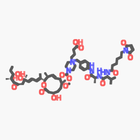 CC[C@H](O)[C@@H](C)[C@H]1O[C@@H]1C[C@@](C)(O)/C=C/C=C(\C)[C@H]1OC(=O)C[C@H](O)CC[C@@](C)(OC)[C@@H](OC(=O)N2CC[N+](CCCC(=O)O)(Cc3ccc(NC(=O)[C@H](C)NC(=O)[C@H](NC(=O)CCCCCN4C(=O)C=CC4=O)C(C)C)cc3)CC2)/C=C/[C@@H]1C